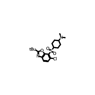 CN(C)C1CCC(S(=O)(=O)c2c(Cl)ccc3nc(C(C)(C)C)oc23)CC1